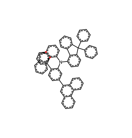 c1ccc(-c2ccc(-c3cc4ccccc4c4ccccc34)cc2N(c2cccc3c2-c2ccccc2C3(c2ccccc2)c2ccccc2)c2cccc3sc4ccccc4c23)cc1